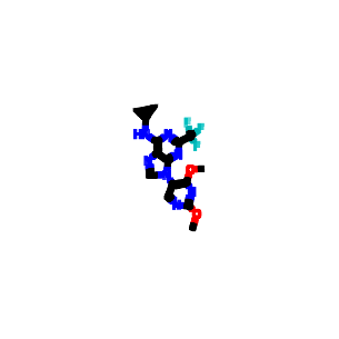 COc1ncc(-n2cnc3c(NC4CC4)nc(C(F)(F)F)nc32)c(OC)n1